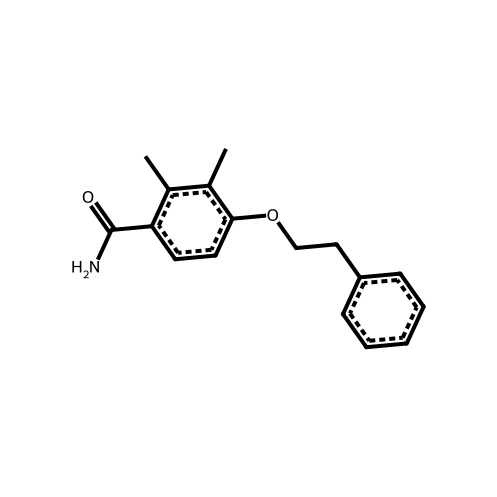 Cc1c(OCCc2ccccc2)ccc(C(N)=O)c1C